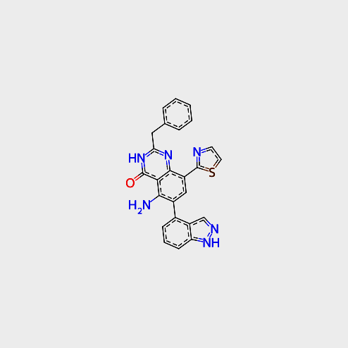 Nc1c(-c2cccc3[nH]ncc23)cc(-c2nccs2)c2nc(Cc3ccccc3)[nH]c(=O)c12